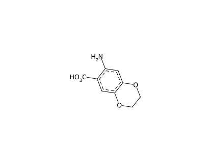 Nc1cc2c(cc1C(=O)O)OCCO2